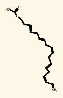 CC/C=C\C/C=C/C/C=C\C/C=C/C/C=C/CCCC(=O)O